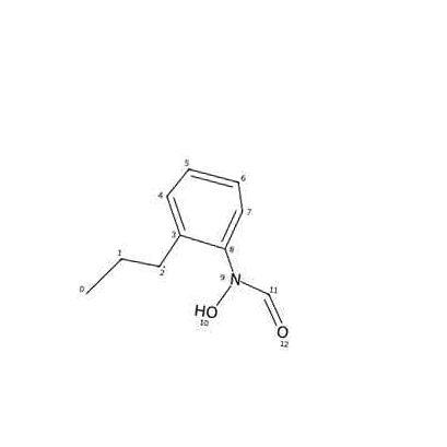 CC[CH]c1ccccc1N(O)C=O